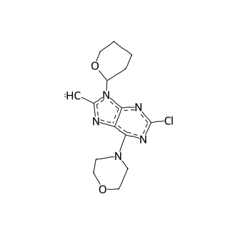 [CH]c1nc2c(N3CCOCC3)nc(Cl)nc2n1C1CCCCO1